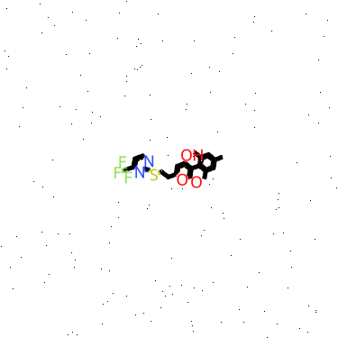 Cc1cc(C)c(-c2c(O)cc(CCSc3nccc(C(F)(F)F)n3)oc2=O)c(C)c1